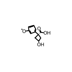 COc1cccc([C@]2(C(=O)O)C[C@@H](O)C2)c1